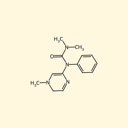 CN1C=C(N(C(=O)N(C)C)c2ccccc2)N=CC1